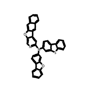 c1ccc2cc3c(cc2c1)oc1cnc(N(c2ccc4c(c2)oc2ccccc24)c2ccc4c(c2)sc2ccccc24)cc13